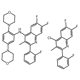 Cc1c(-c2ccccc2F)nc2cc(F)c(F)cc2c1Cl.Cc1c(-c2ccccc2F)nc2cc(F)c(F)cc2c1Nc1cc(N2CCOCC2)ccc1N1CCOCC1